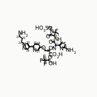 CC1(C)[C@H](NC(=O)/C(=N\O[C@@H](COc2ccc(-c3cnn(CCCN)c3)nc2)C(=O)O)c2csc(N)n2)C(=O)N1OS(=O)(=O)O.O=C(O)C(F)(F)F